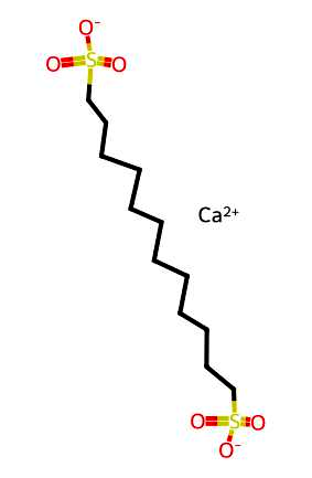 O=S(=O)([O-])CCCCCCCCCCCCS(=O)(=O)[O-].[Ca+2]